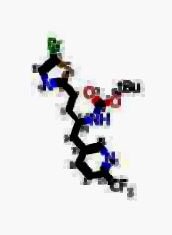 CC(C)(C)OC(=O)N[C@H](CCc1ncc(Br)s1)Cc1ccc(C(F)(F)F)nc1